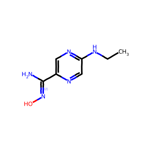 CCNc1cnc(/C(N)=N/O)cn1